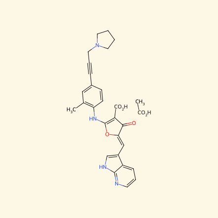 CC(=O)O.Cc1cc(C#CCN2CCCC2)ccc1NC1=C(C(=O)O)C(=O)C(=Cc2c[nH]c3ncccc23)O1